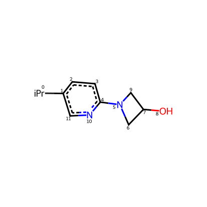 CC(C)c1ccc(N2CC(O)C2)nc1